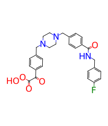 O=C(OO)C(=O)c1ccc(CN2CCN(Cc3ccc(C(=O)NCc4ccc(F)cc4)cc3)CC2)cc1